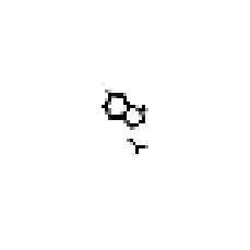 NC(=O)C[C@@H]1CC(=O)c2cc(Br)ccc21